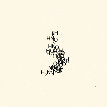 CC(C)(COP(=O)(O)OP(=O)(O)OC[C@H]1O[C@@H](N2CN=C3C(N)=NC=NC32C(=O)c2cccnc2)[C@H](O)[C@@H]1OP(=O)(O)O)[C@@H](O)C(=O)NCCC(=O)NCCS